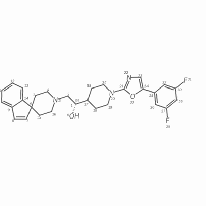 O[C@H](CN1CCC2(C=Cc3ccccc32)CC1)C1CCN(c2ncc(-c3cc(F)cc(F)c3)o2)CC1